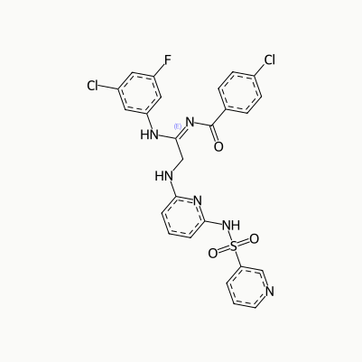 O=C(/N=C(\CNc1cccc(NS(=O)(=O)c2cccnc2)n1)Nc1cc(F)cc(Cl)c1)c1ccc(Cl)cc1